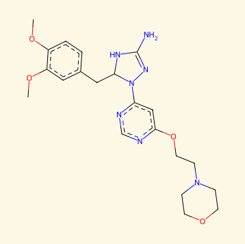 COc1ccc(CC2NC(N)=NN2c2cc(OCCN3CCOCC3)ncn2)cc1OC